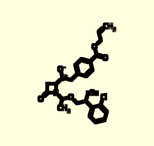 C=CCOC(=O)c1ccc(C[S+]([O-])C2CC(=O)N2C(C)OCC(CCCC)c2ccccc2Cl)cc1